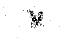 CC(C)[C@@H](O)c1nc2cnc(-c3ncccn3)cc2n1[C@@H]1CCC[C@H](NC(=O)c2ncc(Cl)s2)C1